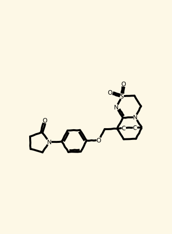 O=C1CCCN1c1ccc(OCC23CCC(CC2)N2CCS(=O)(=O)N=C23)cc1